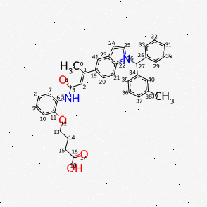 CC(=CC(=O)Nc1ccccc1OCCCC(=O)O)c1ccc2c(ccn2C(c2ccccc2)c2cccc(C)c2)c1